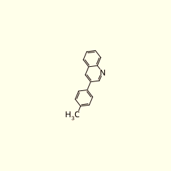 Cc1ccc(-c2cnc3ccccc3c2)cc1